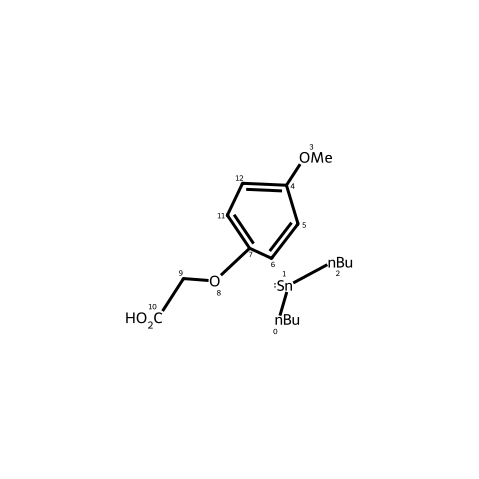 CCC[CH2][Sn][CH2]CCC.COc1ccc(OCC(=O)O)cc1